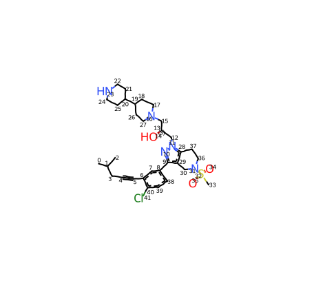 CC(C)CC#Cc1cc(-c2nn(C[C@@H](O)CN3CCC(C4CCNCC4)CC3)c3c2CN(S(C)(=O)=O)CC3)ccc1Cl